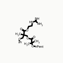 CCCCCOC(C)(C)C(=O)OCC(C)(COC(C)C)C(=O)OCCNC(=N)N